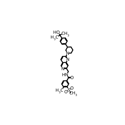 Cc1ccc(C(=O)NCc2cc3nc(N4CCCC(c5ccc(C(C)(C)O)cc5)C4)ccc3cn2)cc1S(C)(=O)=O